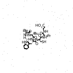 CC[C@H](C)[C@H](N)C(=O)N[C@H](C(=O)N[C@@H](Cc1c[nH]c2ccccc12)C(=O)N[C@@H](CS)C(=O)N[C@H](C(=O)NCCC(=O)O)C(C)C)[C@@H](C)CC